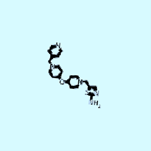 Nc1ncc(CN2CCC(OC3CCN(Cc4ccncc4)CC3)CC2)s1